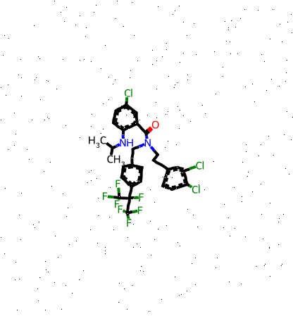 CC(C)Nc1ccc(Cl)cc1C(=O)N(CCc1ccc(Cl)c(Cl)c1)Cc1ccc(C(F)(C(F)(F)F)C(F)(F)F)cc1